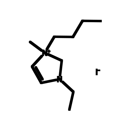 CCCC[N+]1(C)C=CN(CC)C1.[I-]